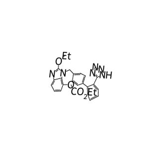 CCOC(=O)Oc1cccc2nc(OCC)n(Cc3ccc(-c4ccccc4-c4nnn[nH]4)cc3)c12